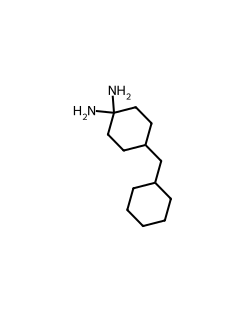 NC1(N)CCC(CC2CCCCC2)CC1